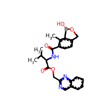 Cc1c(C(=O)NC(C(=O)OCc2ncc3ccccc3n2)C(C)C)ccc2c1B(O)OC2